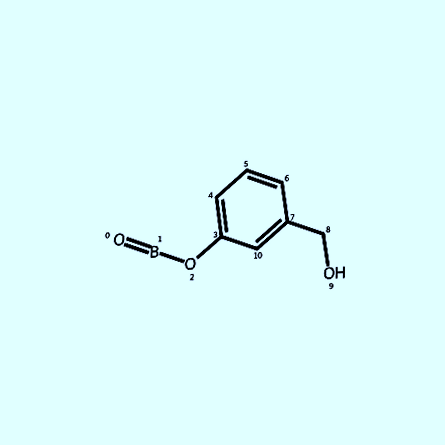 O=BOc1cccc(CO)c1